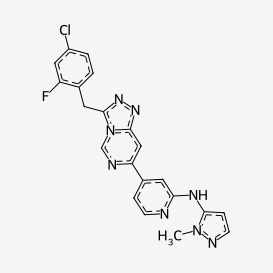 Cn1nccc1Nc1cc(-c2cc3nnc(Cc4ccc(Cl)cc4F)n3cn2)ccn1